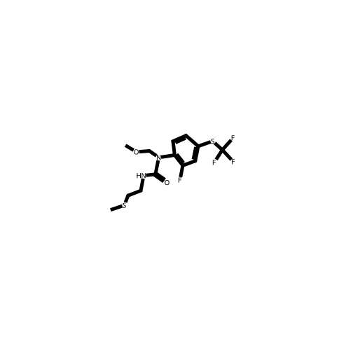 COCN(C(=O)NCCSC)c1ccc(SC(F)(F)F)cc1F